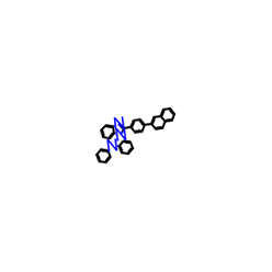 c1ccc(N2c3ccccc3-n3c(-c4ccc(-c5ccc6ccccc6c5)cc4)nc4cccc2c43)cc1